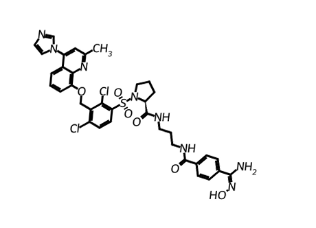 Cc1cc(-n2ccnc2)c2cccc(OCc3c(Cl)ccc(S(=O)(=O)N4CCC[C@H]4C(=O)NCCCNC(=O)c4ccc(/C(N)=N\O)cc4)c3Cl)c2n1